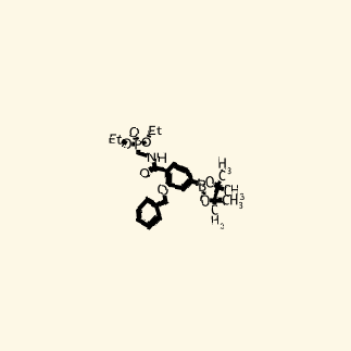 CCOP(=O)(CNC(=O)c1ccc(B2OC(C)(C)C(C)(C)O2)cc1OCc1ccccc1)OCC